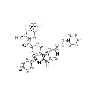 CC1CN(C(=O)O)CCN1C(=O)C1CCC(n2/c(=N\C(=O)c3ccc(F)cc3)[nH]c3cnc(OCCN4CCCCC4)cc32)CC1